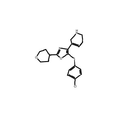 Clc1ccc(Sc2oc(C3CCOCC3)nc2C2=CCCNC2)cc1